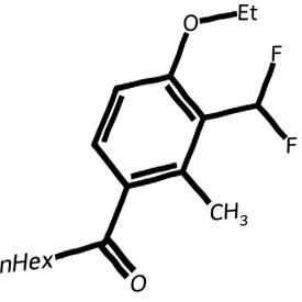 CCCCCCC(=O)c1ccc(OCC)c(C(F)F)c1C